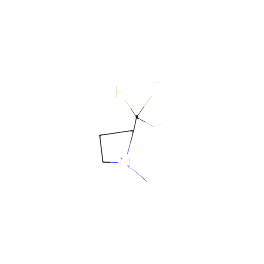 CN1CCC1C(F)(F)F